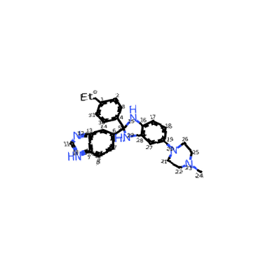 CCc1ccc(C2(c3ccc4[nH]cnc4c3)Nc3ccc(N4CCN(C)CC4)cc3N2)cc1